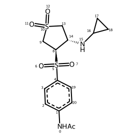 CC(=O)Nc1ccc(S(=O)(=O)[C@H]2CS(=O)(=O)C[C@@H]2NC2CC2)cc1